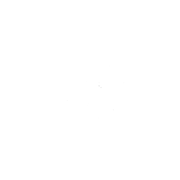 CCOC(=O)[C@@H]1[C@H]2CCC(O)[C@H]2CN1B(C)O